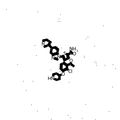 CC(Oc1cc(-n2cnc3c2C=CC(C2=CCCN=C2)C3)sc1C(N)=O)c1cccc(OC2CCNCC2)c1Cl